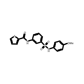 COc1ccc(NS(=O)(=O)c2cccc(NC(=O)c3cccs3)c2)cc1